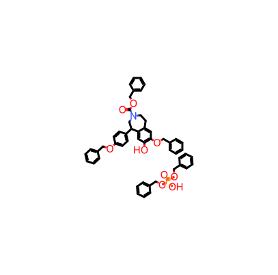 O=C(OCc1ccccc1)N1CCc2cc(OCc3ccccc3)c(O)cc2C(c2ccc(OCc3ccccc3)cc2)C1.O=P(O)(OCc1ccccc1)OCc1ccccc1